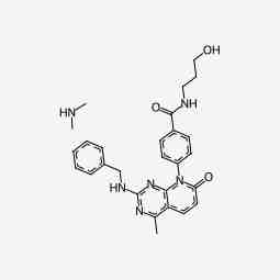 CNC.Cc1nc(NCc2ccccc2)nc2c1ccc(=O)n2-c1ccc(C(=O)NCCCO)cc1